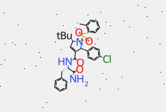 Cc1ccccc1S(=O)(=O)N1C(c2ccc(Cl)cc2)C(C(=O)N[C@@H](Cc2ccccc2)C(N)=O)=CC1C(C)(C)C